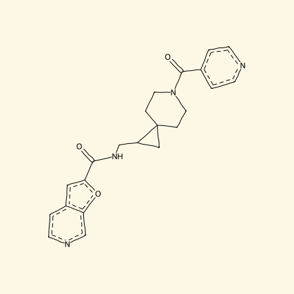 O=C(NCC1CC12CCN(C(=O)c1ccncc1)CC2)c1cc2ccncc2o1